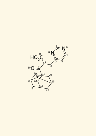 O=C(O)C(Cc1ccncn1)C(=O)C12CC3CC(CC(C3)C1)C2